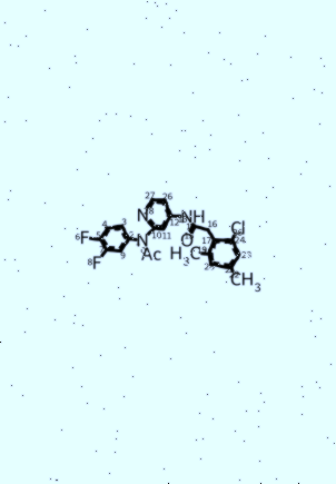 CC(=O)N(c1ccc(F)c(F)c1)c1cc(NC(=O)Cc2c(C)cc(C)cc2Cl)ccn1